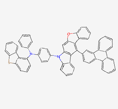 c1ccc(N(c2ccc(-n3c4ccccc4c4c(-c5ccc6c7ccccc7c7ccccc7c6c5)c5c(cc43)oc3ccccc35)cc2)c2cccc3sc4ccccc4c23)cc1